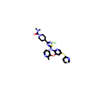 Cc1ncccc1Oc1cc(Sc2ccccn2)cnc1Nc1nc(C2CCN(C(=O)N(C)C)CC2)ns1.Cl